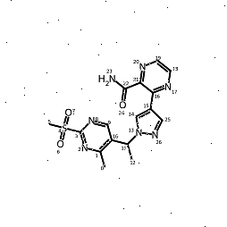 Cc1nc(S(C)(=O)=O)ncc1C(C)n1cc(-c2nccnc2C(N)=O)cn1